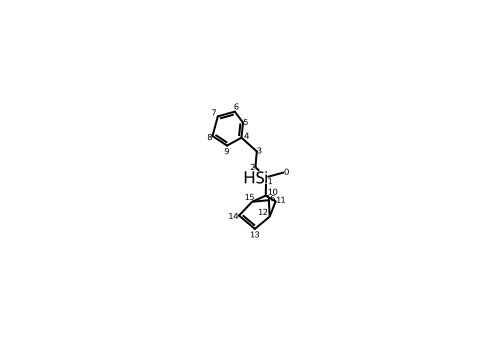 C[SiH](CCc1ccccc1)C1CC2C=CC1C2